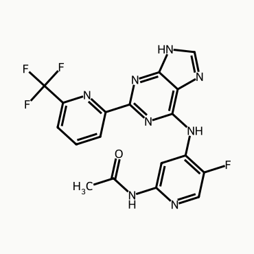 CC(=O)Nc1cc(Nc2nc(-c3cccc(C(F)(F)F)n3)nc3[nH]cnc23)c(F)cn1